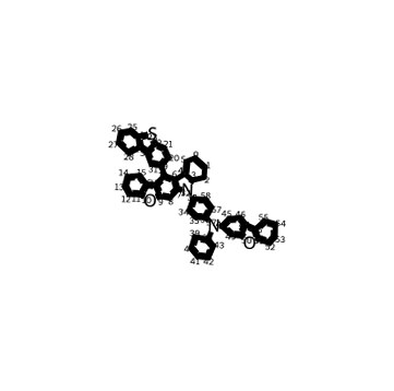 C1=CCC2C(=C1)c1c(cc3oc4ccccc4c3c1-c1ccc3sc4ccccc4c3c1)N2c1ccc(N(c2ccccc2)c2ccc3c(c2)oc2ccccc23)cc1